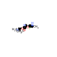 COc1cc2c(Oc3ccc4[nH]c(C)cc4c3F)ccnc2cc1OCC1CC(N(C)C)C1